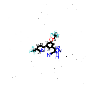 N#Cc1[nH]nnc1-c1cc(OCC(F)(F)F)cc(-c2ccc(C(F)(F)F)cn2)c1